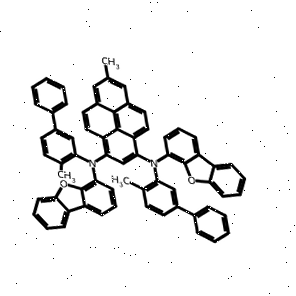 Cc1cc2ccc3c(N(c4cc(-c5ccccc5)ccc4C)c4cccc5c4oc4ccccc45)cc(N(c4cc(-c5ccccc5)ccc4C)c4cccc5c4oc4ccccc45)c4ccc(c1)c2c34